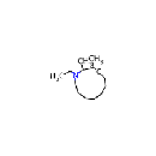 CCN1CCCCCCCCC(C)C1C